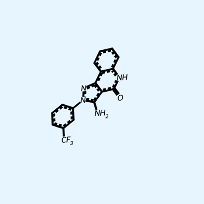 Nc1c2c(=O)[nH]c3ccccc3c2nn1-c1cccc(C(F)(F)F)c1